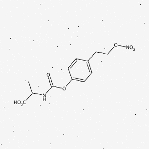 CC(NC(=O)Oc1ccc(CCO[N+](=O)[O-])cc1)C(=O)O